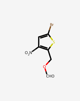 O=COCc1sc(Br)cc1[N+](=O)[O-]